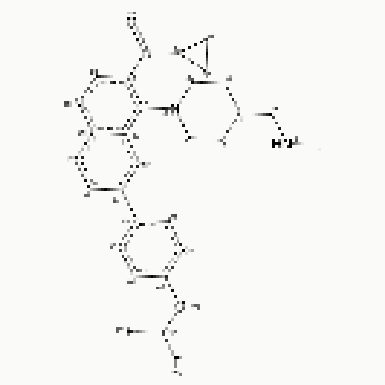 CNCC1CCN(c2c(C(=O)C3CC3)cnc3ccc(-c4ccc(OC(F)F)cc4)cc23)CC1